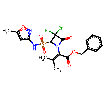 CC(C)=C(C(=O)OCc1ccccc1)N1C(=O)C(Br)(Br)[C@H]1S(=O)(=O)Nc1cc(C)on1